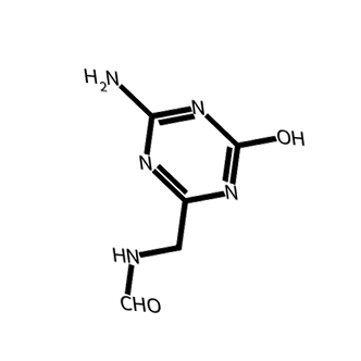 Nc1nc(O)nc(CNC=O)n1